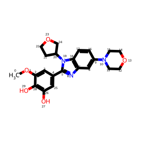 COc1cc(-c2nc3cc(N4CCOCC4)ccc3n2C2CCOC2)cc(O)c1O